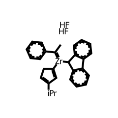 C/[C](c1ccccc1)=[Zr](/[C]1=CC(C(C)C)=CC1)[CH]1c2ccccc2-c2ccccc21.F.F